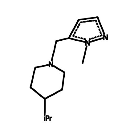 CC(C)C1CCN(Cc2ccnn2C)CC1